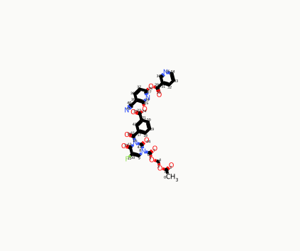 CC(=O)OCOC(=O)n1cc(F)c(=O)n(C(=O)c2cccc(C(=O)Oc3nc(OC(=O)c4cccnc4)ccc3C#N)c2)c1=O